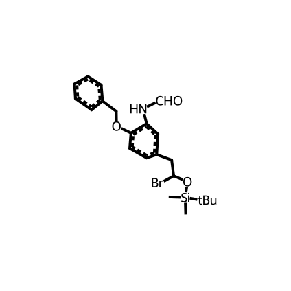 CC(C)(C)[Si](C)(C)OC(Br)Cc1ccc(OCc2ccccc2)c(NC=O)c1